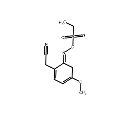 CCS(=O)(=O)ON=C1CC(OC)=CC=C1CC#N